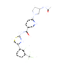 CC(=O)NC1CCN(c2ccc(C(=O)Nc3nc(-c4cccc(C(F)(F)F)c4F)cs3)cn2)C1